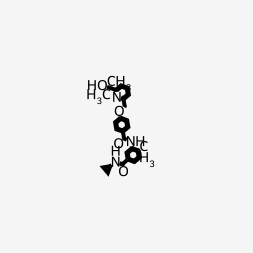 Cc1ccc(C(=O)NC2CC2)cc1NC(=O)c1ccc(OCc2cccc(C(C)(C)O)n2)cc1